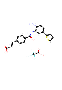 Nc1ccc(-c2cccs2)cc1NC(=O)c1ccc(/C=C/C(=O)O)cc1.O=C(O)C(F)(F)F